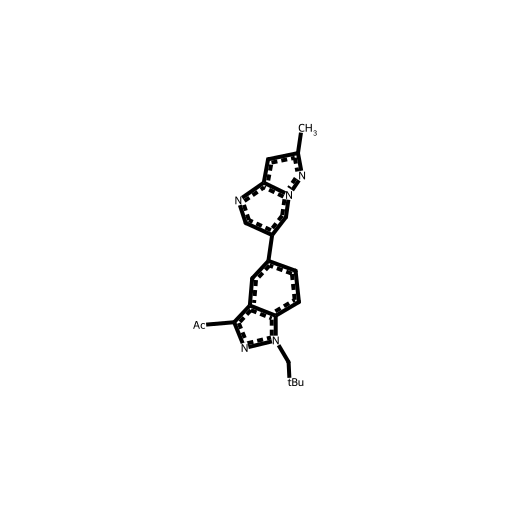 CC(=O)c1nn(CC(C)(C)C)c2ccc(-c3cnc4cc(C)nn4c3)cc12